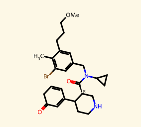 COCCCc1cc(CN(C(=O)[C@H]2CNCCC2C2=CC(=O)CC=C2)C2CC2)cc(Br)c1C